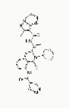 Cc1nn2cccnc2c1C(=O)N[C@@H](C)c1cc2cccc(NC(=O)c3cn[nH]c3)c2c(=O)n1-c1ccccc1